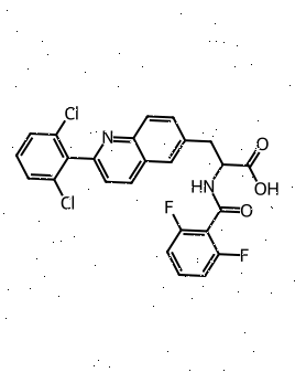 O=C(NC(Cc1ccc2nc(-c3c(Cl)cccc3Cl)ccc2c1)C(=O)O)c1c(F)cccc1F